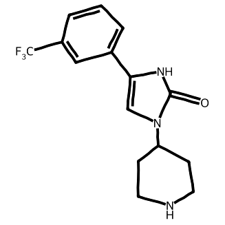 O=c1[nH]c(-c2cccc(C(F)(F)F)c2)cn1C1CCNCC1